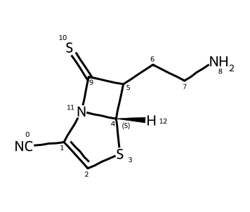 N#CC1=CS[C@H]2C(CCN)C(=S)N12